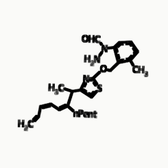 C=C/C=C\C=C(\CCCCC)C(C)c1csc(OCc2c(C)cccc2N(N)C=O)n1